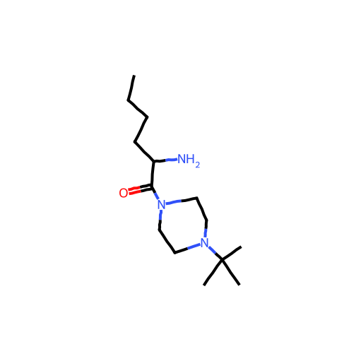 CCCCC(N)C(=O)N1CCN(C(C)(C)C)CC1